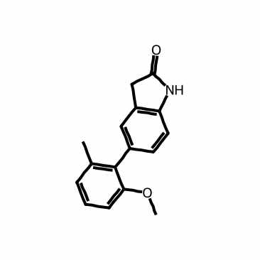 COc1cccc(C)c1-c1ccc2c(c1)CC(=O)N2